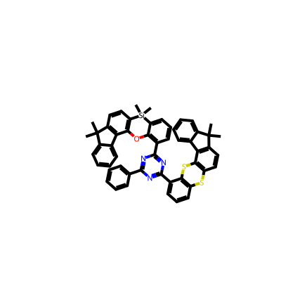 CC1(C)c2ccccc2-c2c1ccc1c2Oc2c(-c3nc(-c4ccccc4)nc(-c4cccc5c4Sc4c(ccc6c4-c4ccccc4C6(C)C)S5)n3)cccc2[Si]1(C)C